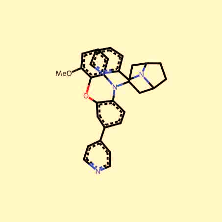 COc1cccc2c1Oc1cc(-c3ccncc3)ccc1N2C1CC2CCC(C1)N2Cc1ccccn1